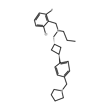 CCCN(Cc1c(F)cccc1Cl)C[C@H]1C[C@H](c2ccc(CN3CCCC3)cc2)C1